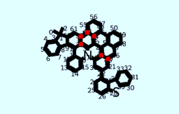 CC1(C)c2ccccc2-c2c(-c3ccccc3N(c3cccc(-c4cccc5sc6ccccc6c45)c3)c3ccccc3-c3cccc4cccc(-c5ccccc5)c34)cccc21